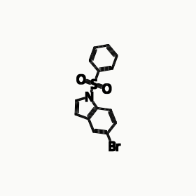 O=S(=O)(c1ccccc1)n1ccc2cc(Br)ccc21